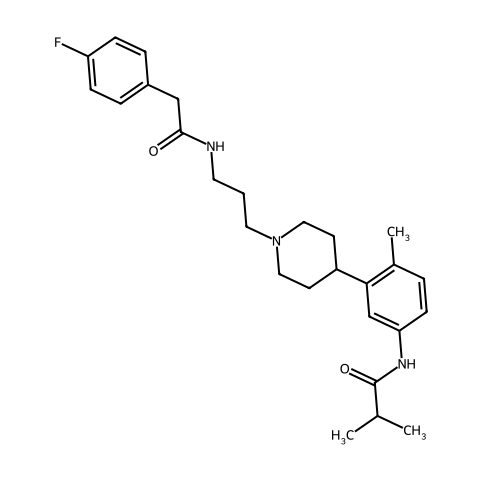 Cc1ccc(NC(=O)C(C)C)cc1C1CCN(CCCNC(=O)Cc2ccc(F)cc2)CC1